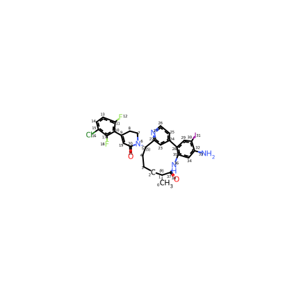 C[C@@H]1CCC[C@H](N2CCC(c3c(F)ccc(Cl)c3F)=CC2=O)c2cc(ccn2)-c2cc(I)c(N)cc2NC1=O